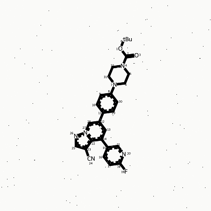 CC(C)(C)OC(=O)N1CCN(c2ccc(-c3cc(-c4ccc(F)nc4)c4c(C#N)cnn4c3)cc2)CC1